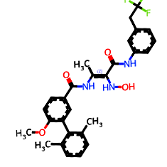 COc1ccc(C(=O)N/C(C)=C(\NO)C(=O)Nc2cccc(CC(F)(F)F)c2)cc1-c1c(C)cccc1C